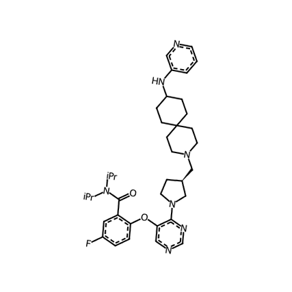 CC(C)N(C(=O)c1cc(F)ccc1Oc1cncnc1N1CC[C@@H](CN2CCC3(CCC(Nc4cccnc4)CC3)CC2)C1)C(C)C